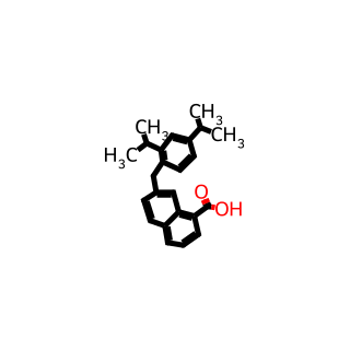 CC(C)c1ccc(Cc2ccc3cccc(C(=O)O)c3c2)c(C(C)C)c1